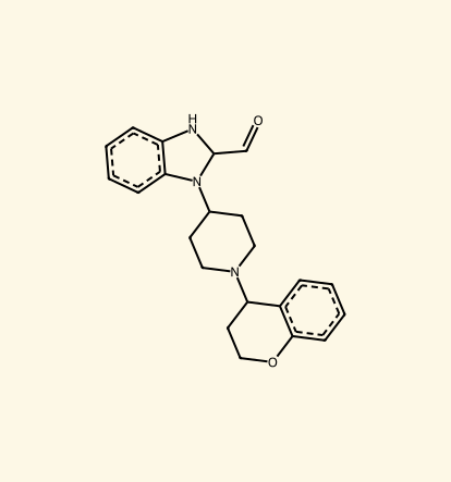 O=CC1Nc2ccccc2N1C1CCN(C2CCOc3ccccc32)CC1